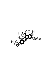 COc1cc2c(cc1F)C(C(C)C(=O)O)=C(C)/C2=C\c1ccc([S+](C)[O-])cc1